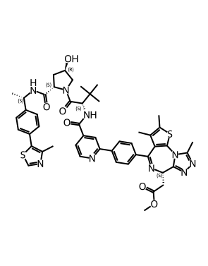 COC(=O)C[C@@H]1N=C(c2ccc(-c3cc(C(=O)N[C@H](C(=O)N4C[C@H](O)C[C@H]4C(=O)N[C@@H](C)c4ccc(-c5scnc5C)cc4)C(C)(C)C)ccn3)cc2)c2c(sc(C)c2C)-n2c(C)nnc21